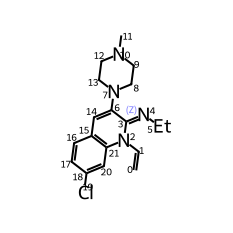 C=Cn1/c(=N\CC)c(N2CCN(C)CC2)cc2ccc(Cl)cc21